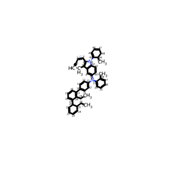 C#C/C=C\c1c(C)c2cc(N(c3ccc(-c4cccc(C5C=CC=CC5CC)c4CC)cc3)c3ccccc3C)ccc2n1C1=CC=CCC1C